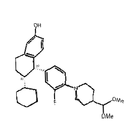 COC(OC)C1CCN(c2ccc([C@H]3c4ccc(O)cc4CC[C@H]3C3CCCCC3)cc2F)CC1